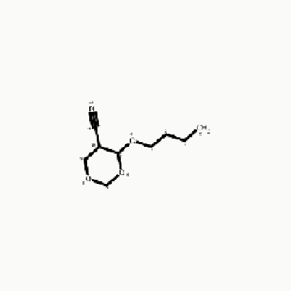 CCCCOC1OCOCC1C#N